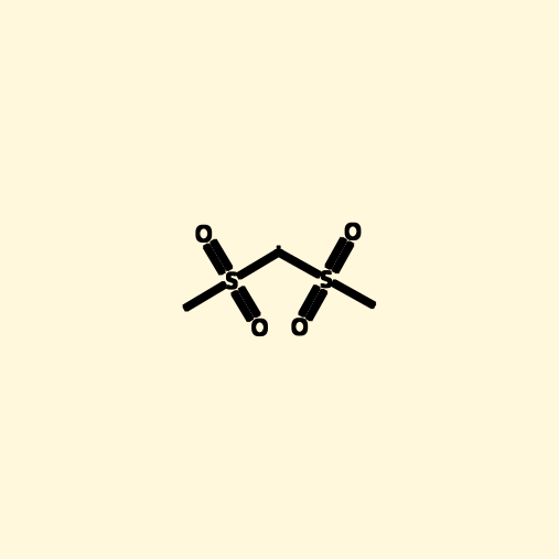 CS(=O)(=O)[CH]S(C)(=O)=O